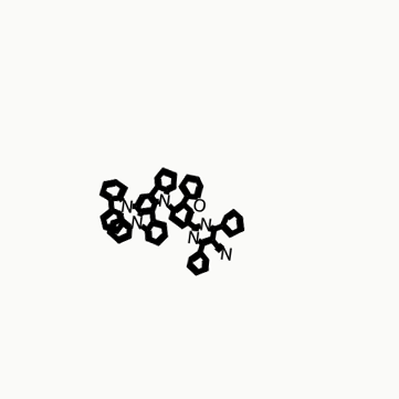 N#Cc1c(-c2ccccc2)nc(-c2ccc(-n3c4ccccc4c4cc(-n5c6ccccc6c6ccccc65)c5c(c6ccccc6n5-c5ccccc5)c43)c3c2oc2ccccc23)nc1-c1ccccc1